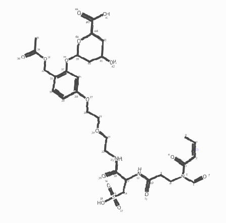 C/C=C\C(=O)N(C=O)CCC(=O)NC(CS(=O)(=O)O)C(=O)NCCOCCOc1ccc(COC(C)=O)c(OC2CC(O)CC(C(=O)O)O2)c1